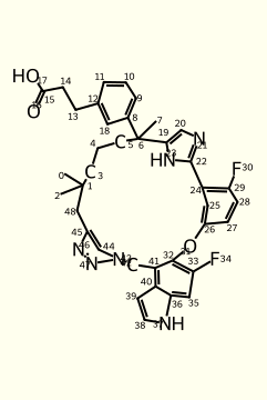 CC1(C)CCCC(C)(c2cccc(CCC(=O)O)c2)c2cnc([nH]2)-c2cc(ccc2F)Oc2c(F)cc3[nH]ccc3c2Cn2cc(nn2)C1